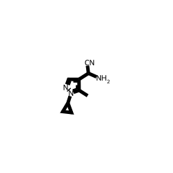 Cc1c(C(N)C#N)cnn1C1CC1